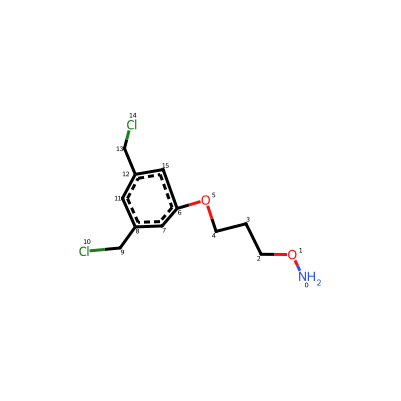 NOCCCOc1cc(CCl)cc(CCl)c1